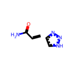 C=CC(N)=O.c1c[nH]nn1